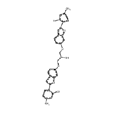 CCc1cc(C)ccc1-c1cc2ccc(OCC(O)COc3ccc4cc(-c5ccc(C)cc5CC)oc4c3)cc2o1